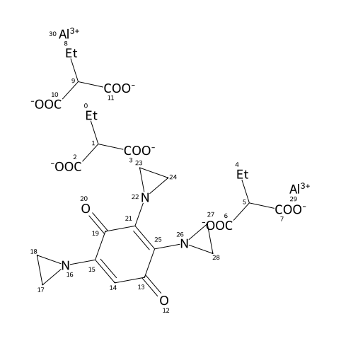 CCC(C(=O)[O-])C(=O)[O-].CCC(C(=O)[O-])C(=O)[O-].CCC(C(=O)[O-])C(=O)[O-].O=C1C=C(N2CC2)C(=O)C(N2CC2)=C1N1CC1.[Al+3].[Al+3]